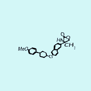 COc1ccc(C2CCC(Oc3ccc4cc([C@]5(C)COC(=O)N5)ccc4c3)CC2)cc1